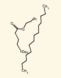 CCCCCCCCCCCCCC.CCCCCCCCCCCCCC(=O)OCCC(C)C